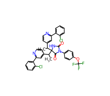 CC(c1ccnc(-c2ccccc2Cl)c1)C1(C(C)c2ccnc(-c3ccccc3Cl)c2)NC(=O)N(c2ccc(OC(F)(F)F)cc2)C1=O